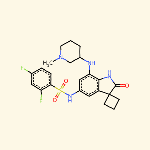 CN1CCCC(Nc2cc(NS(=O)(=O)c3ccc(F)cc3F)cc3c2NC(=O)C32CCC2)C1